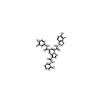 CC(=O)c1ccc2c(c1C)CC[C@@H]2NC(=O)c1cc(C(=O)Nc2ccc(C)c(F)c2)nc2c(C(=O)Nc3ccccc3Cl)cnn12